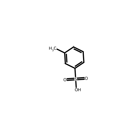 Cc1[c]ccc(S(=O)(=O)O)[c]1